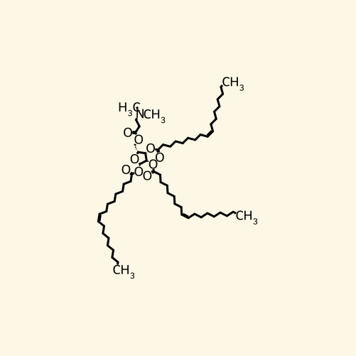 CCCCCCCC/C=C\CCCCCCCC(=O)OC1[C@@H](COC(=O)CCN(C)C)O[C@@H](OC(=O)CCCCCCC/C=C\CCCCCCCC)[C@H]1OC(=O)CCCCCCC/C=C\CCCCCCCC